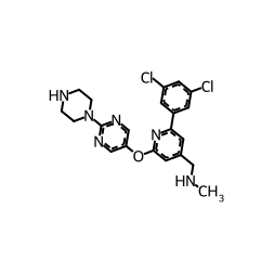 CNCc1cc(Oc2cnc(N3CCNCC3)nc2)nc(-c2cc(Cl)cc(Cl)c2)c1